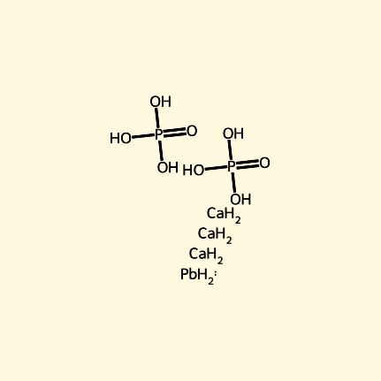 O=P(O)(O)O.O=P(O)(O)O.[CaH2].[CaH2].[CaH2].[PbH2]